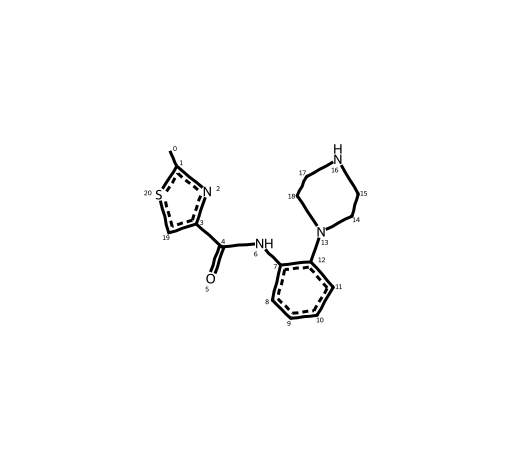 Cc1nc(C(=O)Nc2ccccc2N2CCNCC2)cs1